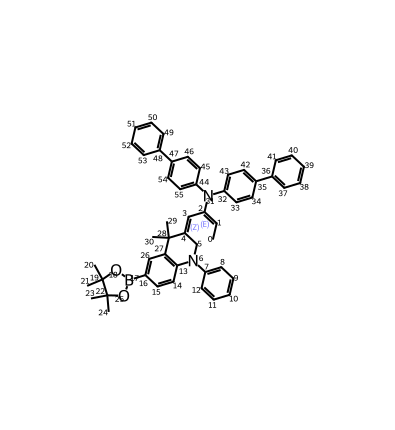 C/C=C(\C=C1/CN(c2ccccc2)c2ccc(B3OC(C)(C)C(C)(C)O3)cc2C1(C)C)N(c1ccc(-c2ccccc2)cc1)c1ccc(-c2ccccc2)cc1